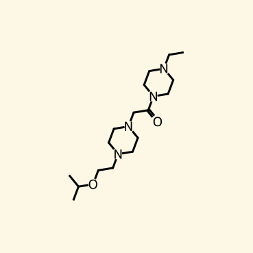 CCN1CCN(C(=O)CN2CCN(CCOC(C)C)CC2)CC1